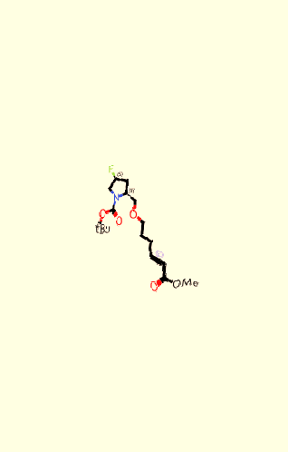 COC(=O)/C=C/CCCOC[C@@H]1C[C@H](F)CN1C(=O)OC(C)(C)C